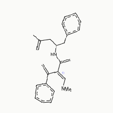 C=C(C)CC(Cc1ccccc1)NC(=C)/C(=C/NC)C(=C)c1ccccc1